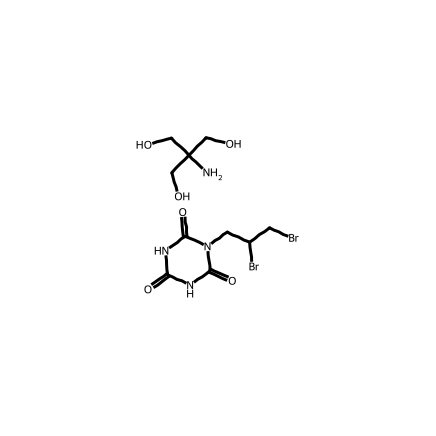 NC(CO)(CO)CO.O=c1[nH]c(=O)n(CC(Br)CBr)c(=O)[nH]1